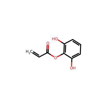 C=CC(=O)Oc1c(O)cccc1O